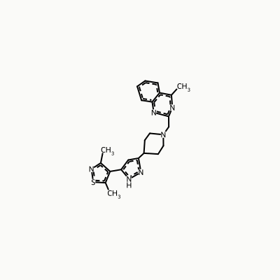 Cc1nsc(C)c1-c1cc(C2CCN(Cc3nc(C)c4ccccc4n3)CC2)n[nH]1